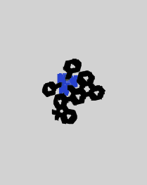 CC1(C)c2ccccc2-c2c(-c3ccc4c5ccccc5c5ccccc5c4c3-c3nc(-c4ccccc4)nc(-c4ccccc4)n3)cccc21